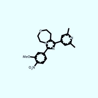 COc1cc(-c2nc(-c3cc(C)nc(C)c3)c3n2CCOCC3)ccc1[N+](=O)[O-]